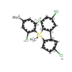 COc1cc(Cl)c(S2(C)c3ccc(Cl)cc3-c3cc(Cl)ccc32)c(Cl)c1